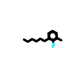 CCCCCCc1cccc(C)c1F